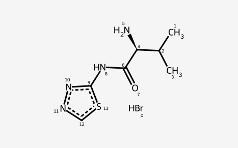 Br.CC(C)[C@H](N)C(=O)Nc1nncs1